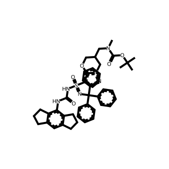 CN(CC1COc2c(S(=O)(=NC(c3ccccc3)(c3ccccc3)c3ccccc3)NC(=O)Nc3c4c(cc5c3CCC5)CCC4)cnn2C1)C(=O)OC(C)(C)C